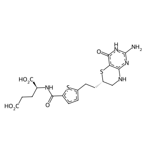 Nc1nc2c(c(=O)[nH]1)S[C@@H](CCc1ccc(C(=O)N[C@@H](CCC(=O)O)C(=O)O)s1)CN2